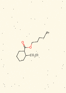 CCOC(=O)C1CCCCC1C(=O)OCCCCC(C)C